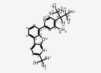 [2H]C([2H])([2H])c1ccc2c(n1)oc1c(-c3cc(C)c(C([2H])(C([2H])([2H])[2H])C([2H])([2H])[2H])cn3)cccc12